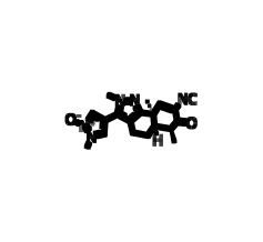 [C-]#[N+]C1=C[C@]2(C)c3nn(C)c(-c4cn(C)[n+]([O-])c4)c3CC[C@H]2[C@H](C)C1=O